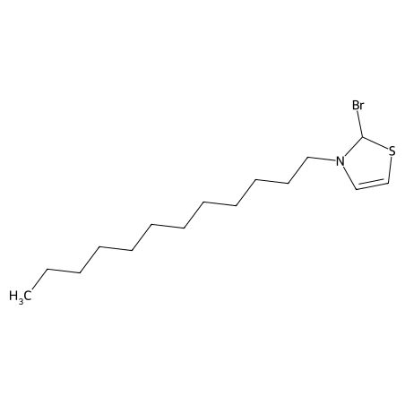 CCCCCCCCCCCCN1C=CSC1Br